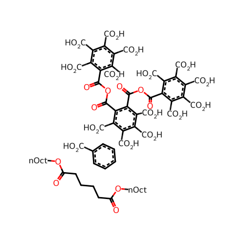 CCCCCCCCOC(=O)CCCCC(=O)OCCCCCCCC.O=C(O)c1c(C(=O)O)c(C(=O)O)c(C(=O)OC(=O)c2c(C(=O)O)c(C(=O)O)c(C(=O)O)c(C(=O)O)c2C(=O)OC(=O)c2c(C(=O)O)c(C(=O)O)c(C(=O)O)c(C(=O)O)c2C(=O)O)c(C(=O)O)c1C(=O)O.O=C(O)c1ccccc1